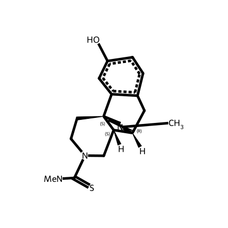 CNC(=S)N1CC[C@]23CCCN(C)[C@H](Cc4ccc(O)cc42)[C@@H]3C1